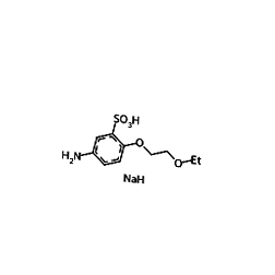 CCOCCOc1ccc(N)cc1S(=O)(=O)O.[NaH]